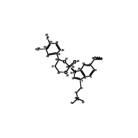 COc1ccc2c(CCN(C)C)cn([P@@]3(=O)OCCC(c4ccc(F)c(F)c4)O3)c2c1